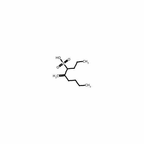 C=C(CCCC)C(CCC)S(=O)(=O)O